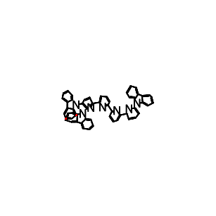 c1cc(-c2cccc(-c3ccc(-n4c5ccccc5c5ccccc54)c(-n4c5ccccc5c5ccccc54)n3)n2)nc(-c2cccc(-n3c4ccccc4c4ccccc43)n2)c1